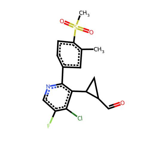 Cc1cc(-c2ncc(F)c(Cl)c2C2CC2C=O)ccc1S(C)(=O)=O